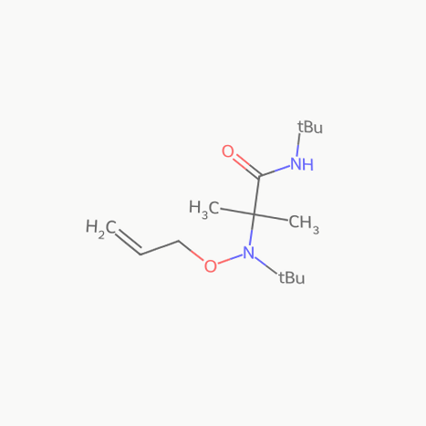 C=CCON(C(C)(C)C)C(C)(C)C(=O)NC(C)(C)C